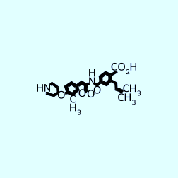 CC(C)=CCc1cc(C(=O)Nc2cc3ccc(OC4CCNCC4)c(C)c3oc2=O)ccc1CC(=O)O